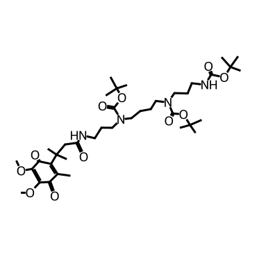 COC1=C(OC)C(=O)C(C(C)(C)CC(=O)NCCCN(CCCCN(CCCNC(=O)OC(C)(C)C)C(=O)OC(C)(C)C)C(=O)OC(C)(C)C)=C(C)C1=O